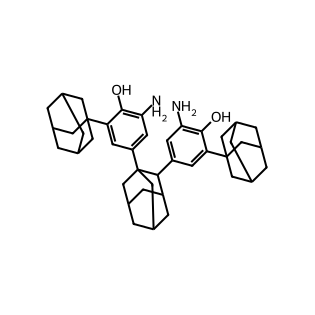 Nc1cc(C2C3CC4CC(C3)CC2(c2cc(N)c(O)c(C35CC6CC(CC(C6)C3)C5)c2)C4)cc(C23CC4CC(CC(C4)C2)C3)c1O